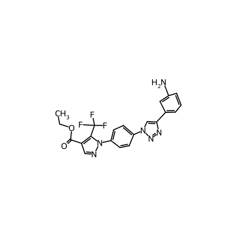 CCOC(=O)c1cnn(-c2ccc(-n3cc(-c4cccc(N)c4)nn3)cc2)c1C(F)(F)F